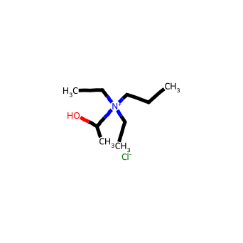 CCC[N+](CC)(CC)C(C)O.[Cl-]